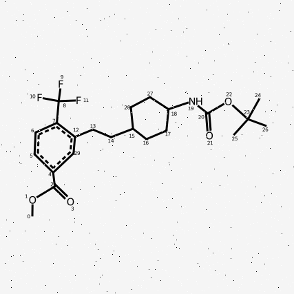 COC(=O)c1ccc(C(F)(F)F)c(CCC2CCC(NC(=O)OC(C)(C)C)CC2)c1